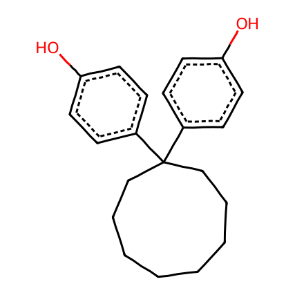 Oc1ccc(C2(c3ccc(O)cc3)CCCCCCCC2)cc1